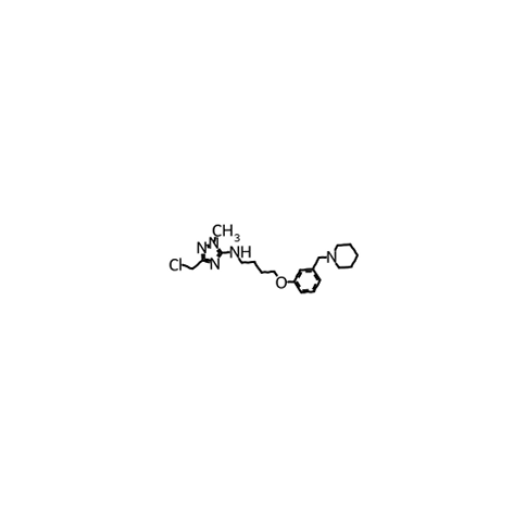 Cn1nc(CCl)nc1NCCCCOc1cccc(CN2CCCCC2)c1